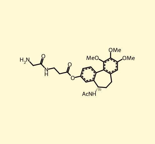 COc1cc2c(c(OC)c1OC)-c1ccc(OC(=O)CCNC(=O)CN)cc1[C@@H](NC(C)=O)CC2